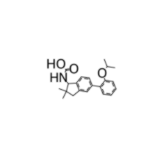 CC(C)Oc1ccccc1-c1ccc2c(c1)CC(C)(C)C2NC(=O)O